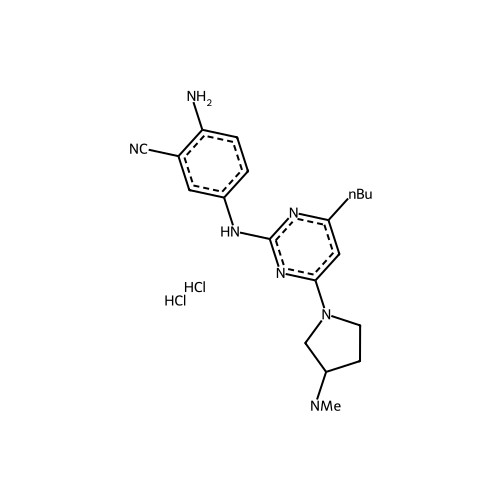 CCCCc1cc(N2CCC(NC)C2)nc(Nc2ccc(N)c(C#N)c2)n1.Cl.Cl